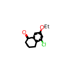 CCOc1cc(Cl)c2c(c1)C(=O)CCC2